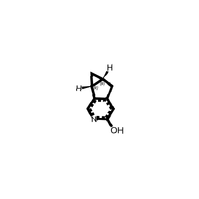 Oc1cc2c(cn1)[C@@H]1C[C@@H]1C2